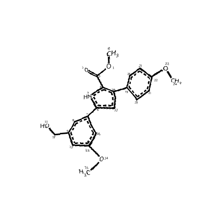 COC(=O)c1[nH]c(-c2cc(CO)cc(OC)c2)cc1-c1ccc(OC)cc1